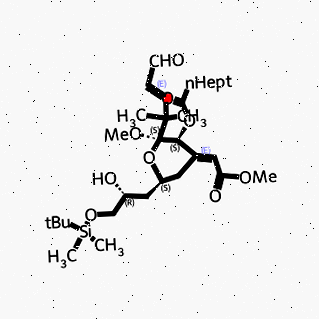 CCCCCCCC(=O)O[C@H]1/C(=C/C(=O)OC)C[C@@H](C[C@@H](O)CO[Si](C)(C)C(C)(C)C)O[C@@]1(OC)C(C)(C)/C=C/C=O